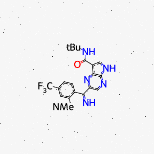 CNc1cc(C(F)(F)F)ccc1C(=N)c1cnc2[nH]cc(C(=O)NC(C)(C)C)c2n1